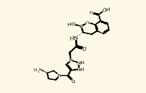 N[C@@H]1CCN(C(=O)C2=CN(CC(=O)N[C@H]3Cc4cccc(C(=O)O)c4OB3O)NN2)C1